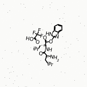 CC(C)C[C@H](N)C(=O)N[C@H](CC(C)C)C(=O)Oc1nc2ccccc2[nH]1.O=C(O)C(F)(F)F